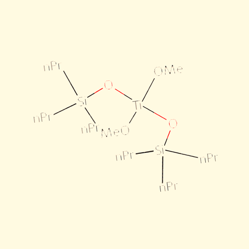 CCC[Si](CCC)(CCC)[O][Ti]([O]C)([O]C)[O][Si](CCC)(CCC)CCC